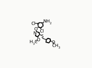 COc1ccc(CSc2cc(Oc3c(Cl)cc(N)cc3Cl)ncc2OC)cc1